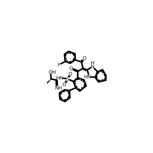 C[C@@H](O)C(=N)NS(=O)(=O)c1c(C(=O)C(C(=O)c2cccc(F)c2)=C2Nc3ccccc3N2)cccc1-c1ccccc1